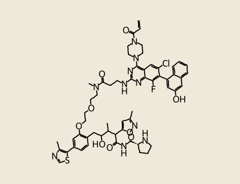 C=CC(=O)N1CCN(c2nc(NCCC(=O)N(C)CCOCCOc3cc(-c4scnc4C)ccc3CC(O)C(C)C(C(=O)NC(=O)[C@@H]3CCCN3)c3cc(C)no3)nc3c(F)c(-c4cc(O)cc5ccccc45)c(Cl)cc23)CC1